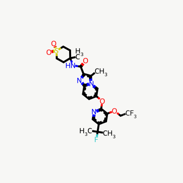 Cc1c(C(=O)NC2(C)CCS(=O)(=O)CC2)nc2ccc(Oc3ncc(C(C)(C)F)cc3OCC(F)(F)F)cn12